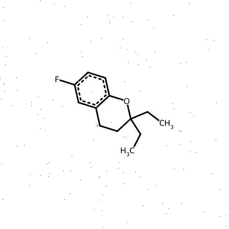 CCC1(CC)C[C]c2cc(F)ccc2O1